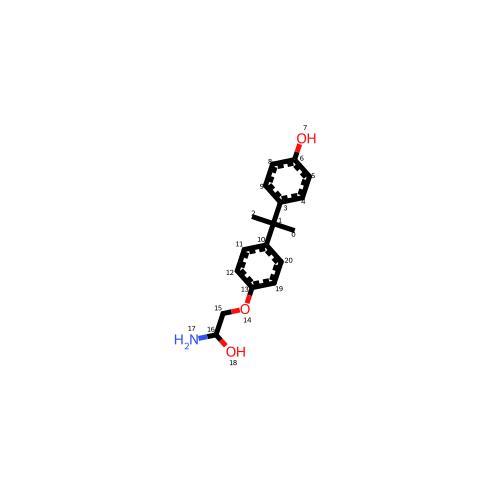 CC(C)(c1ccc(O)cc1)c1ccc(OCC(N)O)cc1